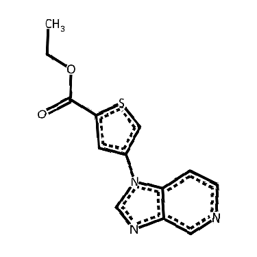 CCOC(=O)c1cc(-n2cnc3cnccc32)cs1